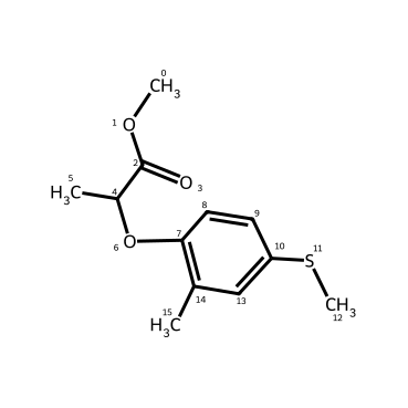 COC(=O)C(C)Oc1ccc(SC)cc1C